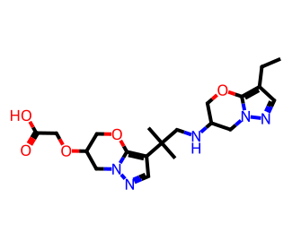 CCc1cnn2c1OCC(NCC(C)(C)c1cnn3c1OCC(OCC(=O)O)C3)C2